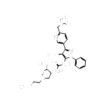 COCCN1C[C@@H](NC(=O)Nc2c(C)c(-c3ccc(CN(C)C)nc3)nn2-c2ccccc2)[C@H](C)O1